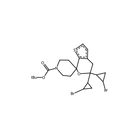 CC(C)(C)OC(=O)N1CCC2(CC1)OC(C1CC1Br)(C1CC1Br)Cc1ccsc12